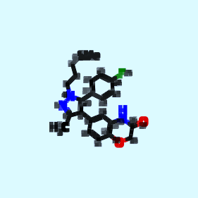 CSCCCn1nc(C)c(-c2ccc3c(c2)NC(=O)CO3)c1-c1ccc(F)cc1